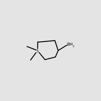 BC1CCS(C)(C)CC1